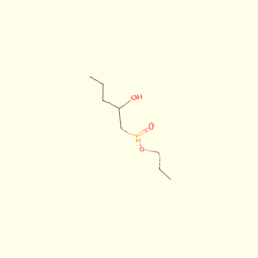 CCCO[PH](=O)CC(O)CCC